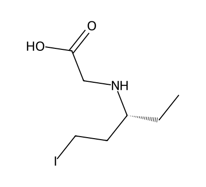 CC[C@H](CCI)NCC(=O)O